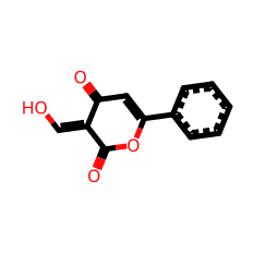 O=C1C=C(c2ccccc2)OC(=O)C1=CO